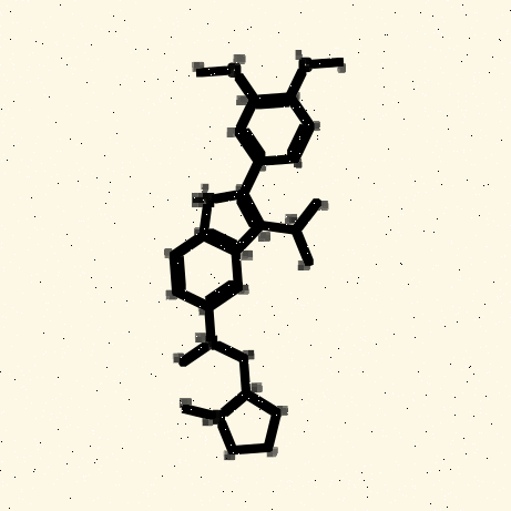 COc1ccc(-c2[nH]c3ccc(N(C)CC4CCCN4C)cc3c2C(C)C)cc1OC